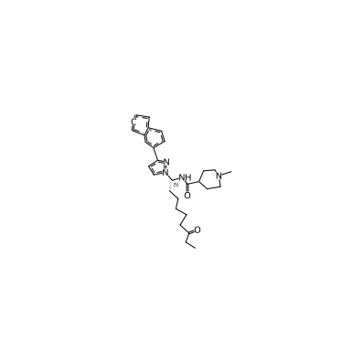 CCC(=O)CCCCC[C@@H](NC(=O)C1CCN(C)CC1)n1ccc(-c2ccc3ccccc3c2)n1